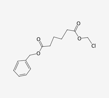 O=C(CCCCC(=O)OCc1ccccc1)OCCl